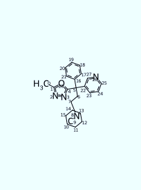 Cc1nnc(C(CCN2CC3CCC2CC3)(c2ccccc2)c2cccnc2)o1